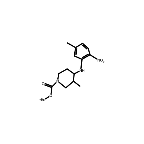 Cc1ccc([N+](=O)[O-])c(NC2CCN(C(=O)OC(C)(C)C)CC2C)c1